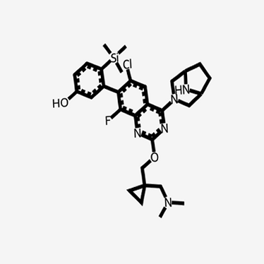 CN(C)CC1(COc2nc(N3CC4CCC(C3)N4)c3cc(Cl)c(-c4cc(O)ccc4[Si](C)(C)C)c(F)c3n2)CC1